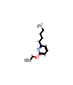 CC(C)CCCCc1cccc(OCC(C)(C)C)n1